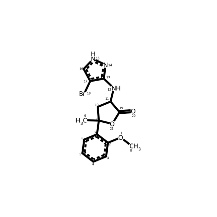 COc1ccccc1C1(C)CC(Nc2n[nH]cc2Br)C(=O)O1